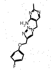 Cc1ncc(Cn2cc(COc3ccc(F)cc3)nn2)c(N)n1